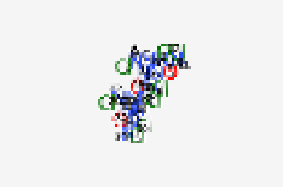 CC(=O)N(Cl)c1nc(N(Cl)C(=O)N(C)Cl)nc(N(Cl)C(=O)N(Cl)c2nc(N(C)Cl)nc(N(Cl)C(=O)N(C)Cl)n2)n1